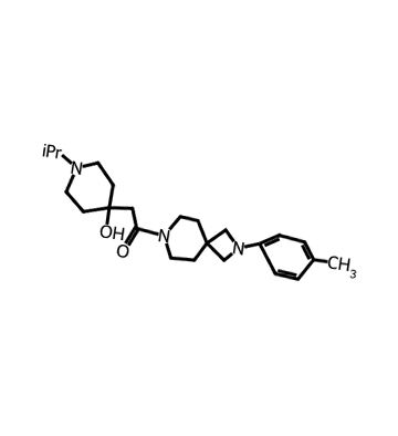 Cc1ccc(N2CC3(CCN(C(=O)CC4(O)CCN(C(C)C)CC4)CC3)C2)cc1